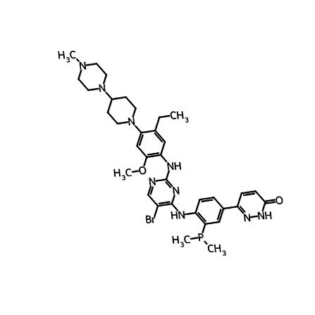 CCc1cc(Nc2ncc(Br)c(Nc3ccc(-c4ccc(=O)[nH]n4)cc3P(C)C)n2)c(OC)cc1N1CCC(N2CCN(C)CC2)CC1